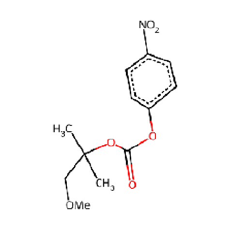 COCC(C)(C)OC(=O)Oc1ccc([N+](=O)[O-])cc1